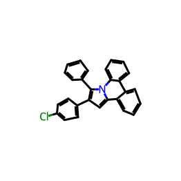 Clc1ccc(-c2cc3c4ccccc4c4ccccc4n3c2-c2ccccc2)cc1